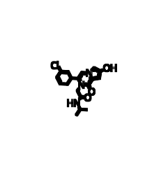 CC(C)NC(=O)Cn1c(C2C=C(Cl)C=CC2)cn2cc(O)cc2c1=O